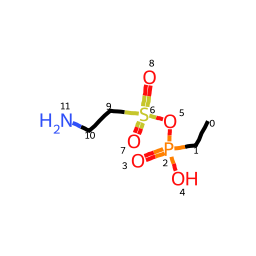 CCP(=O)(O)OS(=O)(=O)CCN